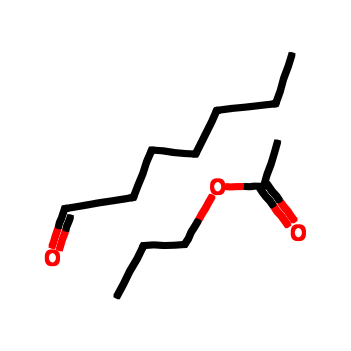 CCCCCCC=O.CCCOC(C)=O